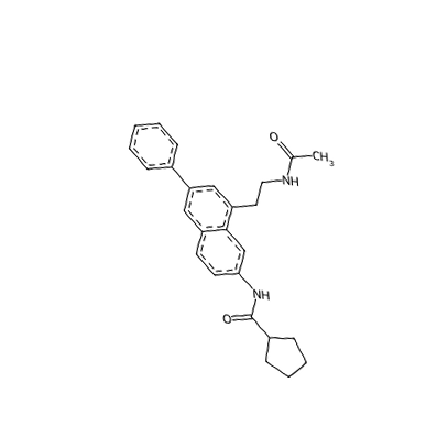 CC(=O)NCCc1cc(-c2ccccc2)cc2ccc(NC(=O)C3CCCC3)cc12